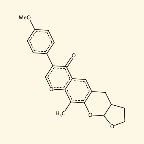 COc1ccc(-c2coc3c(C)c4c(cc3c2=O)CC2CCOC2O4)cc1